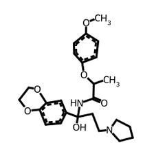 COc1ccc(OC(C)C(=O)NC(O)(CCN2CCCC2)c2ccc3c(c2)OCCO3)cc1